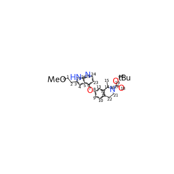 COCCc1cc2c(Oc3ccc4c(c3)C(C)N(C(=O)OC(C)(C)C)CC4)ccnc2[nH]1